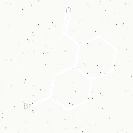 O=CC1CCCC2CCC(Br)CC12